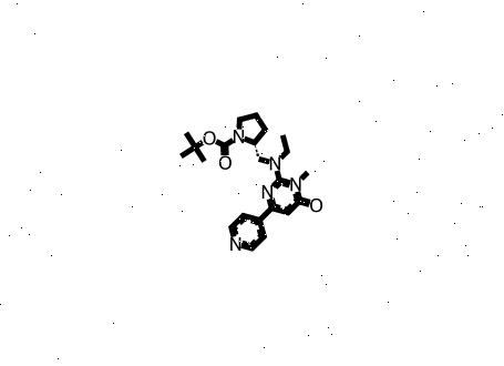 CCN(C[C@H]1CCCN1C(=O)OC(C)(C)C)c1nc(-c2ccncc2)cc(=O)n1C